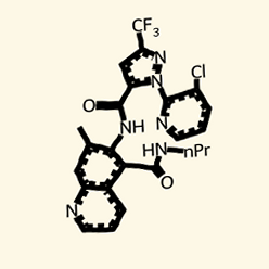 CCCNC(=O)c1c(NC(=O)c2cc(C(F)(F)F)nn2-c2ncccc2Cl)c(C)cc2ncccc12